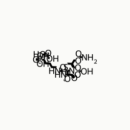 CO[C@@]1(NC(=O)NCCCCC(P(=O)(O)O)P(=O)(O)O)C(=O)N2C(OC(=O)O)=C(COC(N)=O)CS[C@H]21